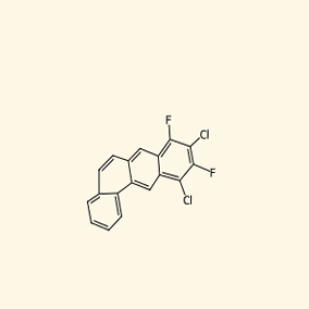 Fc1c(Cl)c(F)c2cc3ccc4ccccc4c3cc2c1Cl